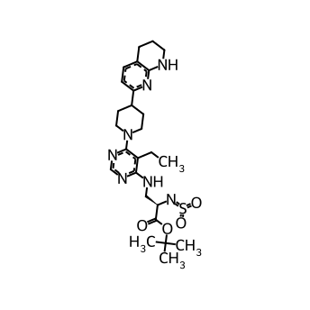 CCc1c(NC[C@@H](N=S(=O)=O)C(=O)OC(C)(C)C)ncnc1N1CCC(c2ccc3c(n2)NCCC3)CC1